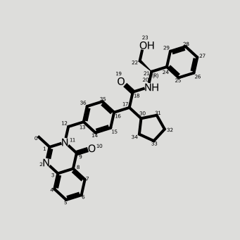 Cc1nc2ccccc2c(=O)n1Cc1ccc(C(C(=O)N[C@@H](CO)c2ccccc2)C2CCCC2)cc1